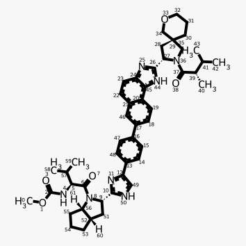 COC(=O)N[C@H](C(=O)N1[C@H](c2nc(-c3ccc(-c4ccc5c(ccc6nc([C@@H]7C[C@@]8(CCCOC8)CN7C(=O)[C@@H](C)C(C)C)[nH]c65)c4)cc3)c[nH]2)C[C@@H]2CCC[C@@H]21)C(C)C